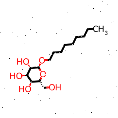 CCCCCCCCCO[C@H]1O[C@H](CO)[C@@H](O)[C@@H](O)[C@@H]1O